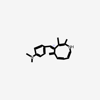 C=c1cccc[nH]c(C)c(C)/c1=C/c1ccc(N(C)C)cc1